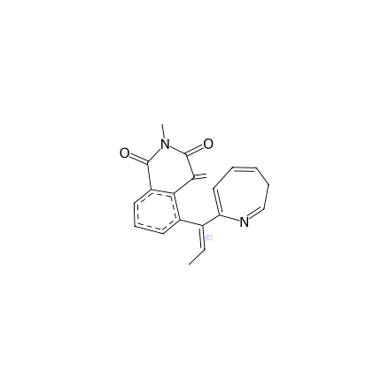 C=C1C(=O)N(C)C(=O)c2cccc(/C(=C\C)C3=CC=CCC=N3)c21